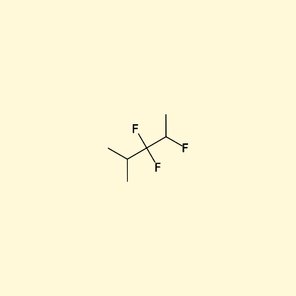 CC(C)C(F)(F)C(C)F